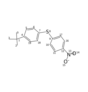 CC(C)(C)c1ccc(Sc2ccc([N+](=O)[O-])cc2)cc1